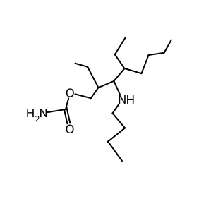 CCCCNC(C(CC)CCCC)C(CC)COC(N)=O